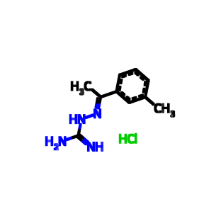 CC(=NNC(=N)N)c1cccc(C)c1.Cl